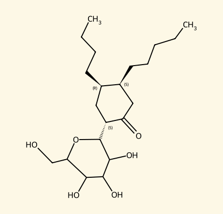 CCCCC[C@H]1CC(=O)[C@H](C2OC(CO)C(O)C(O)C2O)C[C@H]1CCCC